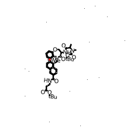 COc1ccc2cc(C(=O)NCCC(=O)OC(C)(C)C)ccc2c1CN1C(=O)C(NC(=O)C(C)N(C)C(=O)OC(C)(C)C)COc2ccccc21